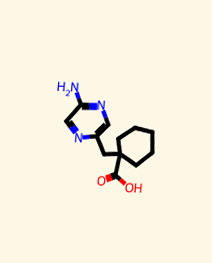 Nc1cnc(CC2(C(=O)O)CCCCC2)cn1